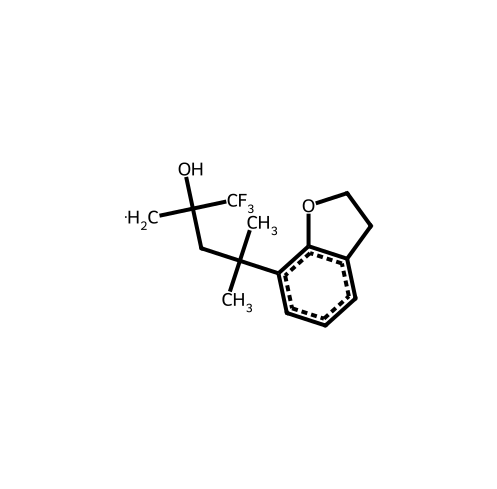 [CH2]C(O)(CC(C)(C)c1cccc2c1OCC2)C(F)(F)F